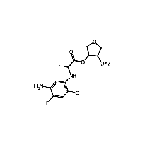 CC(=O)OC1COCC1OC(=O)C(C)Nc1cc(N)c(F)cc1Cl